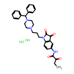 CCC(=O)C(=O)Nc1ccc2c(c1)C(=O)C(=O)N2CCCN1CCN(C(c2ccccc2)c2ccccc2)CC1.Cl.Cl